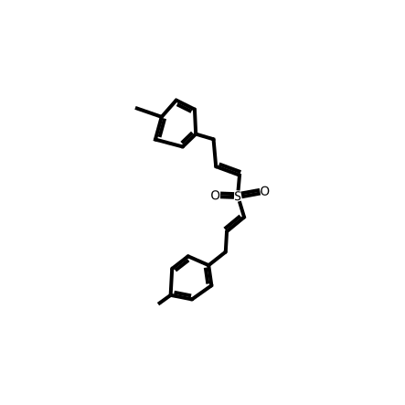 Cc1ccc(CC=CS(=O)(=O)C=CCc2ccc(C)cc2)cc1